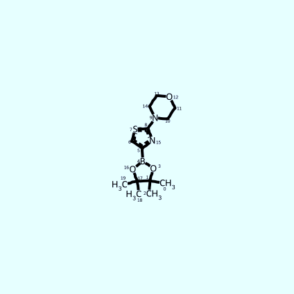 CC1(C)OB(c2csc(N3CCOCC3)n2)OC1(C)C